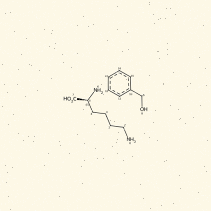 NCCCC[C@H](N)C(=O)O.OCc1ccccc1